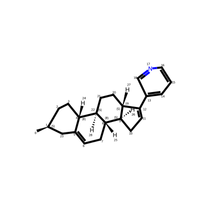 C[C@H]1CC[C@H]2C(=CC[C@H]3[C@@H]4CC=C(c5cccnc5)[C@H]4CC[C@@H]32)C1